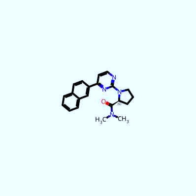 CN(C)C(=O)[C@@H]1CCCN1c1nccc(-c2ccc3ccccc3c2)n1